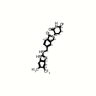 Cc1cc2[nH]c(NCc3ccc4c(c3)CN(C3CCC(=O)NC3=O)C4=O)nc2cc1C(F)(F)F